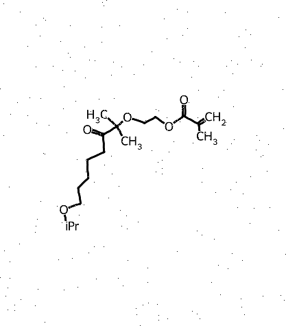 C=C(C)C(=O)OCCOC(C)(C)C(=O)CCCCCOC(C)C